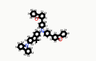 CC1(C)c2cc(N(c3ccc(-c4ccc5oc6ccccc6c5c4)cc3)c3ccc(-c4cccc5c4oc4ccccc45)cc3)ccc2-c2ccc(-n3c4ccccc4c4ccccc43)cc21